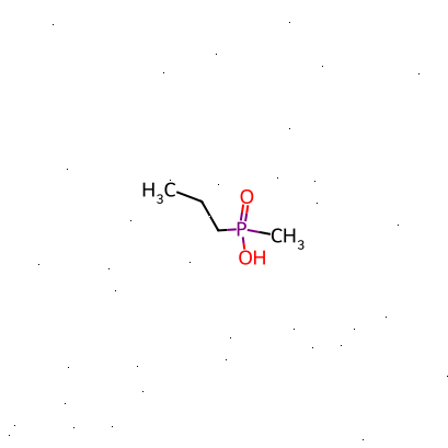 CCCP(C)(=O)O